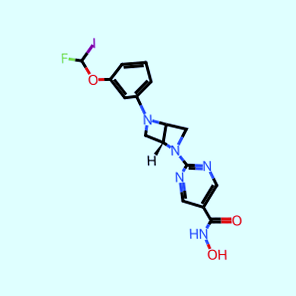 O=C(NO)c1cnc(N2CC3[C@H]2CN3c2cccc(OC(F)I)c2)nc1